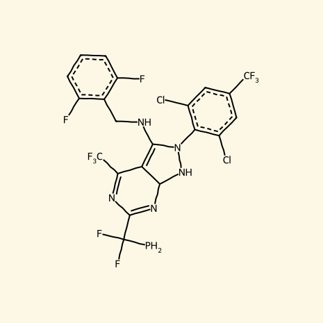 Fc1cccc(F)c1CNC1=C2C(C(F)(F)F)=NC(C(F)(F)P)=NC2NN1c1c(Cl)cc(C(F)(F)F)cc1Cl